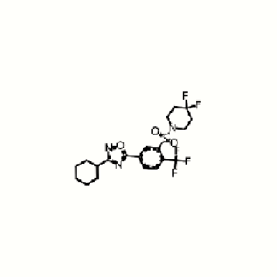 O=S(=O)(c1cc(-c2nc(C3CCCCC3)no2)ccc1C(F)(F)F)N1CCC(F)(F)CC1